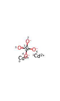 [Cd+2].[Cd+2].[O-][Si]([O-])([O-])[O-]